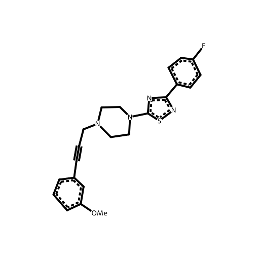 COc1cccc(C#CCN2CCN(c3nc(-c4ccc(F)cc4)ns3)CC2)c1